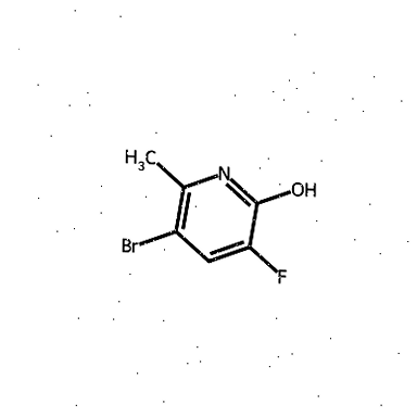 Cc1nc(O)c(F)cc1Br